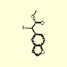 COC(=O)C(Br)c1ccc2occc2c1